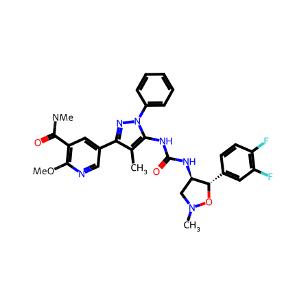 CNC(=O)c1cc(-c2nn(-c3ccccc3)c(NC(=O)N[C@@H]3CN(C)O[C@H]3c3ccc(F)c(F)c3)c2C)cnc1OC